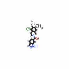 Cc1cc2c(c(Cl)c1C)CCN(C(=O)c1ccc3cn[nH]c3c1)C2